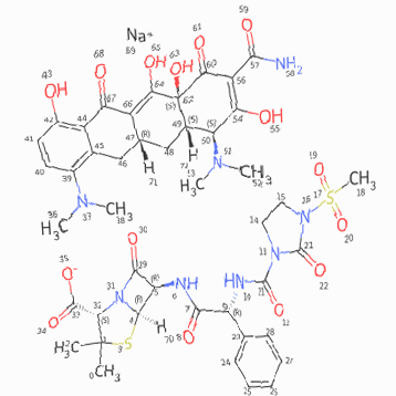 CC1(C)S[C@@H]2[C@H](NC(=O)[C@H](NC(=O)N3CCN(S(C)(=O)=O)C3=O)c3ccccc3)C(=O)N2[C@H]1C(=O)[O-].CN(C)c1ccc(O)c2c1C[C@H]1C[C@H]3[C@H](N(C)C)C(O)=C(C(N)=O)C(=O)[C@@]3(O)C(O)=C1C2=O.[Na+]